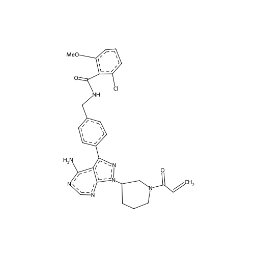 C=CC(=O)N1CCCC(n2nc(-c3ccc(CNC(=O)c4c(Cl)cccc4OC)cc3)c3c(N)ncnc32)C1